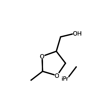 CC(C)C.CC1OCC(CO)O1